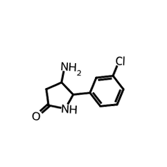 NC1CC(=O)NC1c1cccc(Cl)c1